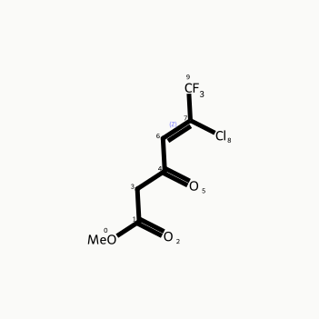 COC(=O)CC(=O)/C=C(\Cl)C(F)(F)F